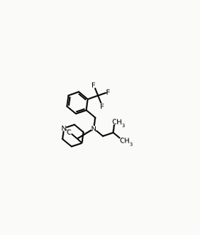 CC(C)CN(Cc1ccccc1C(F)(F)F)C1CN2CCC1CC2